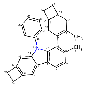 CC1=C(c2c(C)ccc3c4cc5c(cc4n(-c4ccccc4)c23)CC5)C=C2CCC2C1